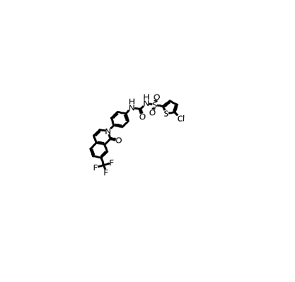 O=C(Nc1ccc(-n2ccc3ccc(C(F)(F)F)cc3c2=O)cc1)NS(=O)(=O)c1ccc(Cl)s1